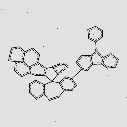 C1=Cc2ccc(-c3ccc4c(c3)c3cccnc3n4-c3ccccc3)cc2C2(c3ccccc31)c1ccccc1-c1c2cc2ccc3cccc4ccc1c2c34